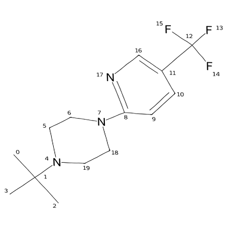 CC(C)(C)N1CCN(c2ccc(C(F)(F)F)cn2)CC1